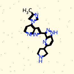 Cc1cn(-c2ccnc3[nH]c(-c4n[nH]c5ccc(C6CCNCC6)nc45)cc23)cn1